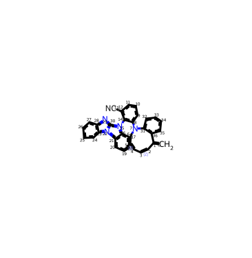 C=C1/C=C\C=C/CN(c2cccc(C#N)c2-n2c3ccccc3n3c4ccccc4nc23)c2ccccc21